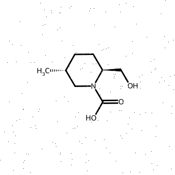 C[C@@H]1CC[C@@H](CO)N(C(=O)O)C1